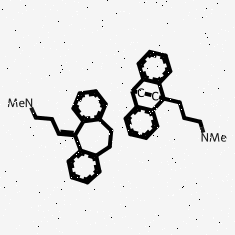 CNCCC=C1c2ccccc2CCc2ccccc21.CNCCCC12CCC(c3ccccc31)c1ccccc12